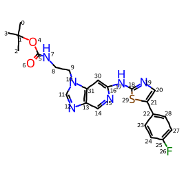 CC(C)(C)OC(=O)NCCn1cnc2cnc(Nc3ncc(-c4ccc(F)cc4)s3)cc21